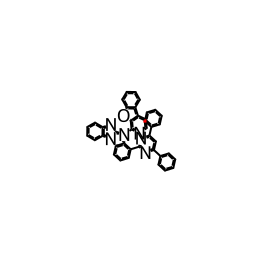 c1ccc(-c2cc(-c3ccccc3)nc(-c3cccc4c3n(-c3nccc5c3oc3ccccc35)c3nc5ccccc5n43)n2)cc1